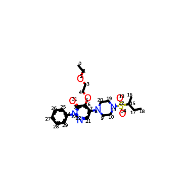 CCOCCOc1c(N2CCN(S(=O)(=O)C(C)CC)CC2)cnn(-c2ccccc2)c1=O